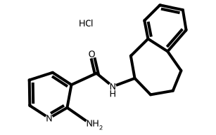 Cl.Nc1ncccc1C(=O)NC1CCCc2ccccc2C1